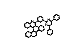 c1ccc(-c2cc(-c3ccccc3)nc(-c3cccc(-c4nc5ccccc5c5c4c4ccccc4c4ccc6ccccc6c45)c3)n2)cc1